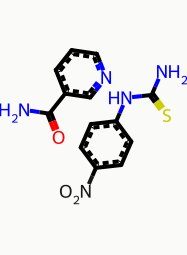 NC(=O)c1cccnc1.NC(=S)Nc1ccc([N+](=O)[O-])cc1